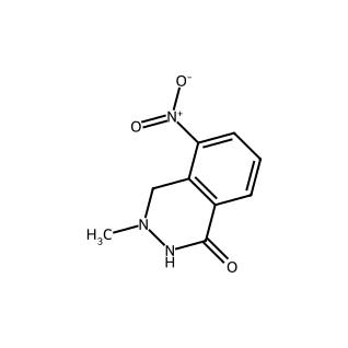 CN1Cc2c(cccc2[N+](=O)[O-])C(=O)N1